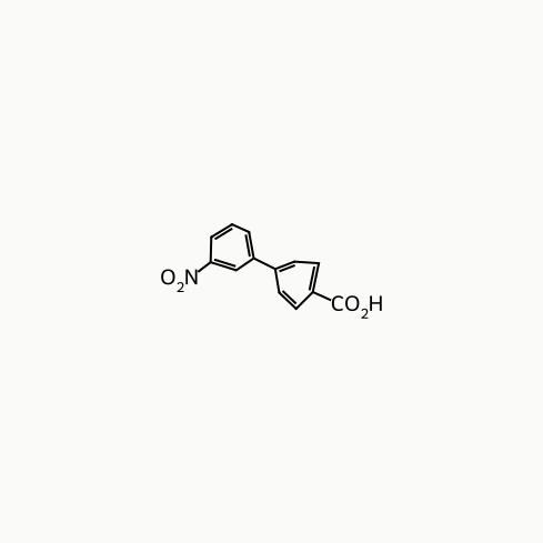 O=C(O)c1ccc(-c2cccc([N+](=O)[O-])c2)cc1